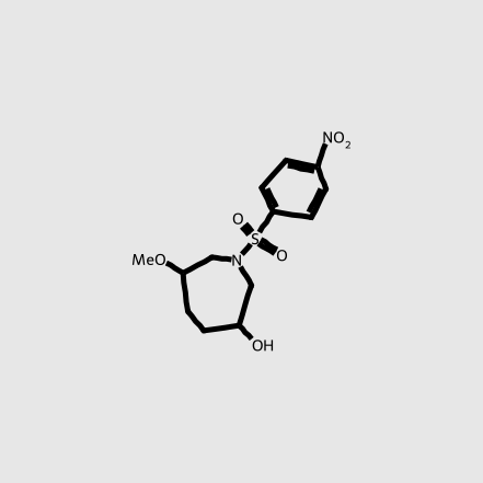 COC1CCC(O)CN(S(=O)(=O)c2ccc([N+](=O)[O-])cc2)C1